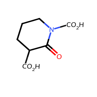 O=C(O)C1CCCN(C(=O)O)C1=O